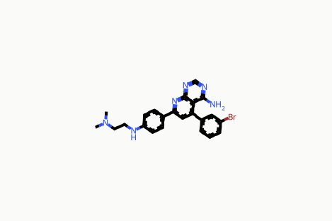 CN(C)CCNc1ccc(-c2cc(-c3cccc(Br)c3)c3c(N)ncnc3n2)cc1